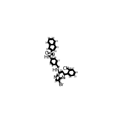 O=S(=O)(Nc1ccc(CNc2cc(-c3ccccc3Cl)nc3c(Br)cnn23)cc1)c1ccc2ccccc2c1